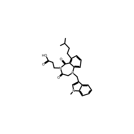 CC(C)CCc1cccc2c1C(=O)N(CCC(=O)O)C(=O)CN2Cc1cn(C)c2ccccc12